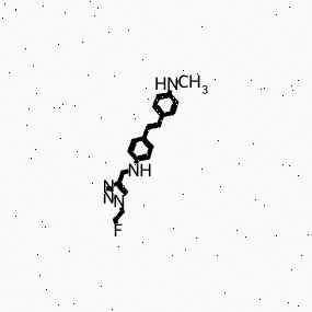 CNc1ccc(C=Cc2ccc(NCc3cn(CCF)nn3)cc2)cc1